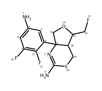 NC1=NC2(c3cc(N)cc(F)c3F)COC(CF)C2CS1